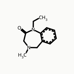 CCN1C(=O)CN(C)Cc2ccccc21